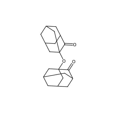 O=C1C2CC3CC(C2)CC1(OC12CC4CC(CC(C4)C1=O)C2)C3